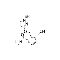 C#Cc1cccc(C(N)=O)c1COc1ccn(S)n1